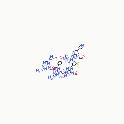 Nc1nc(N2CCOCC2)c2nc(-c3cc(F)ccc3F)cnc2n1.Nc1nc(N2CCOCC2)c2nc(-c3ccc(C(=O)NC4CC4)cc3)cnc2n1.Nc1nc(N2CCOCC2)c2nc(-c3ccncc3)cnc2n1.Nc1nc(N2CCOCC2)c2nc(-c3cn[nH]c3)cnc2n1